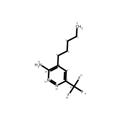 CCCCCc1cc(C(F)(F)F)nnc1N